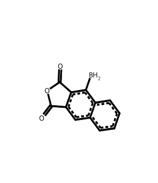 Bc1c2c(cc3ccccc13)C(=O)OC2=O